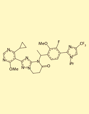 COc1ncnc(C2CC2)c1-c1nc2n(n1)CCC(=O)N2C(C)c1ccc(-c2nc(C(F)(F)F)cn2C(C)C)c(F)c1OC